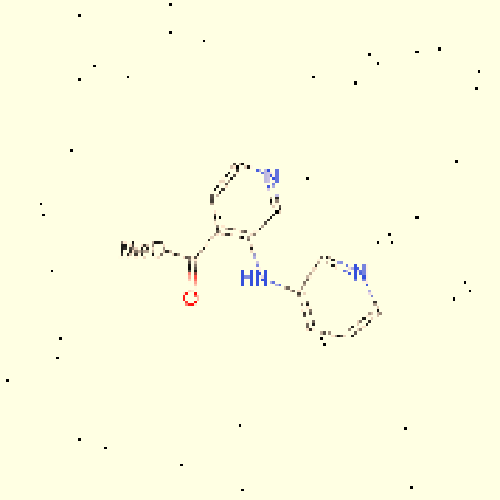 COC(=O)c1ccncc1Nc1cccnc1